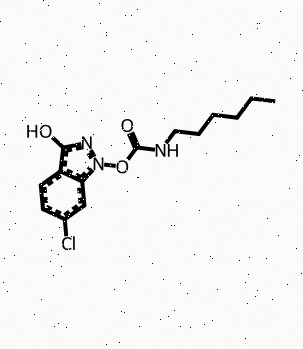 CCCCCCNC(=O)On1nc(O)c2ccc(Cl)cc21